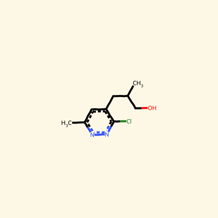 Cc1cc(CC(C)CO)c(Cl)nn1